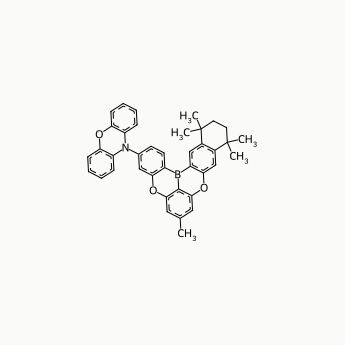 Cc1cc2c3c(c1)Oc1cc4c(cc1B3c1ccc(N3c5ccccc5Oc5ccccc53)cc1O2)C(C)(C)CCC4(C)C